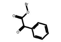 O=C(OBr)C(=O)c1ccccc1